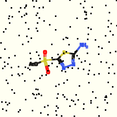 CC(=O)OS(=O)(=O)c1nnc(N)s1